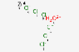 [Cl-].[Cl-].[Cl-].[Cl-].[Cl-].[Cl-].[OH4+2].[Zr+4]